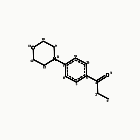 CCC(=O)c1ccc(N2CCOCC2)cc1